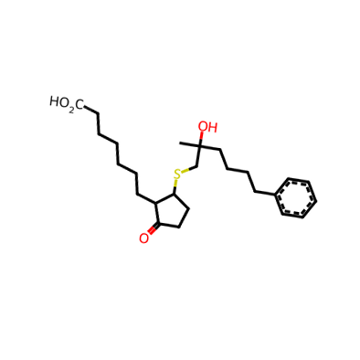 CC(O)(CCCCc1ccccc1)CSC1CCC(=O)C1CCCCCCC(=O)O